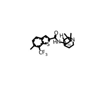 Cc1ccc2cc(C(=O)N[C@H]3C4CCN(CC4)C3(C)C)sc2c1C(F)(F)F